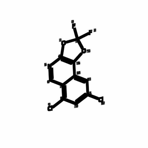 FC1(F)Oc2ncc3c(Cl)cc(Cl)cc3c2O1